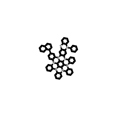 c1ccc(N2c3ccccc3Sc3cc4c(cc32)N2c3ccccc3B3c5ccccc5N5c6ccccc6B6c7ccccc7N7c8ccc(-c9cccc%10ccccc9%10)cc8B4c4c7c6c5c3c42)cc1